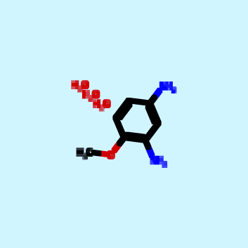 COc1ccc(N)cc1N.O.O.O